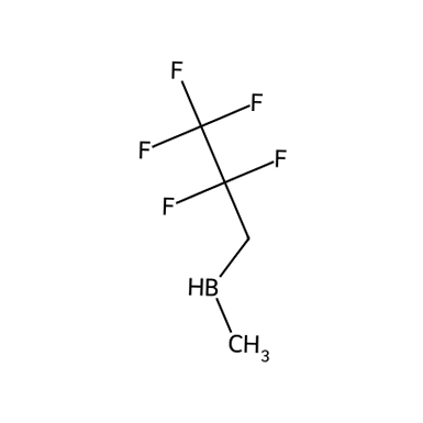 CBCC(F)(F)C(F)(F)F